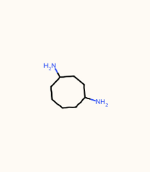 NC1CCCCC(N)CC1